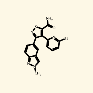 CCc1cccc(-c2c(-c3ccc4nn(C)cc4c3)nsc2C(N)=O)n1